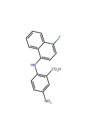 O=C(O)c1cc([N+](=O)[O-])ccc1Nc1ccc(F)c2ccccc12